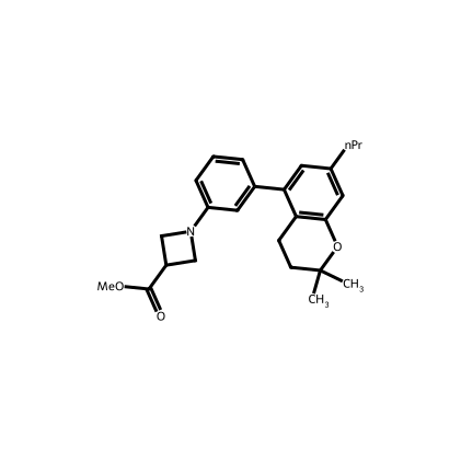 CCCc1cc2c(c(-c3cccc(N4CC(C(=O)OC)C4)c3)c1)CCC(C)(C)O2